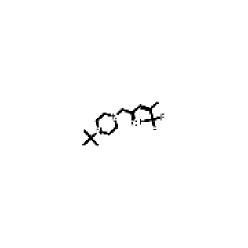 C/C(=C/C(=O)CN1CCN(C(C)(C)C)CC1)C(F)(F)F